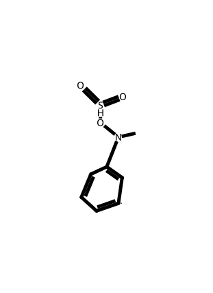 CN(O[SH](=O)=O)c1c[c]ccc1